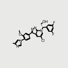 COc1cc(-c2nnc3n([C@H](CO)c4cc(F)cc(F)c4)cc(Cl)cc2-3)ccc1-n1cnc(C)c1